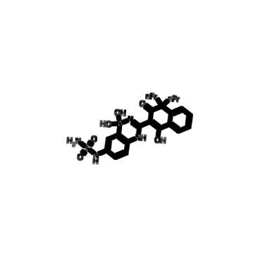 CCCC1(CCC)C(=O)C(C2=NS(O)(O)c3cc(NS(N)(=O)=O)ccc3N2)=C(O)c2ccccc21